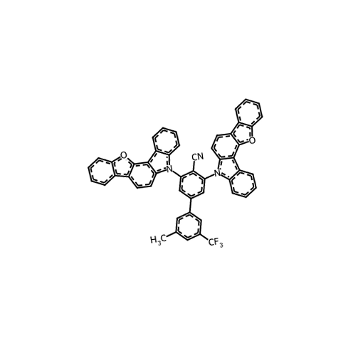 Cc1cc(-c2cc(-n3c4ccccc4c4c5oc6ccccc6c5ccc43)c(C#N)c(-n3c4ccccc4c4c5oc6ccccc6c5ccc43)c2)cc(C(F)(F)F)c1